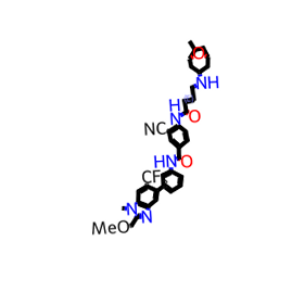 COCc1nc2cc(-c3cccc(NC(=O)c4ccc(NC(=O)/C=C/CNC5CC6CC(C)C(C5)O6)c(C#N)c4)c3)c(C(F)(F)F)cc2n1C